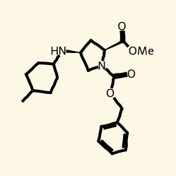 COC(=O)[C@@H]1C[C@H](NC2CCC(C)CC2)CN1C(=O)OCc1ccccc1